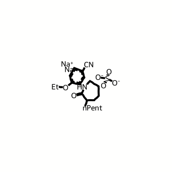 CCCCCC1CCCCNC1=O.CCOc1ccc(C#N)cc1.O=S(=O)([O-])[O-].[Na+].[Na+]